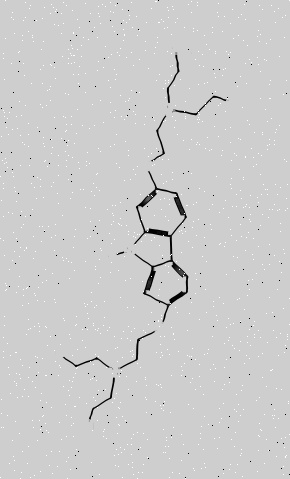 CCCN(CCC)CCOc1ccc2c3ccc(OCCN(CCC)CCC)cc3n(C)c2c1